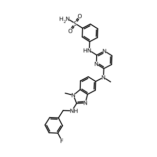 CN(c1ccc2c(c1)nc(NCc1cccc(F)c1)n2C)c1ccnc(Nc2cccc(S(N)(=O)=O)c2)n1